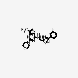 Fc1cccc(-c2nnc(CNc3nc(N4CCOCC4)nc4c(C(F)(F)F)cnn34)[nH]2)c1